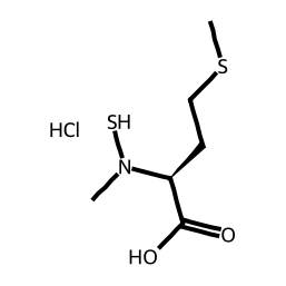 CSCC[C@@H](C(=O)O)N(C)S.Cl